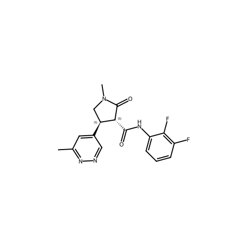 Cc1cc([C@H]2CN(C)C(=O)[C@@H]2C(=O)Nc2cccc(F)c2F)cnn1